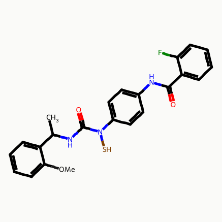 COc1ccccc1C(C)NC(=O)N(S)c1ccc(NC(=O)c2ccccc2F)cc1